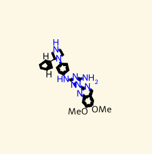 COc1cc2cnc(-n3nc(Nc4ccc(N5CCNCC5[C@H]5C[C@@H]6CC[C@H]5C6)cc4)nc3N)nc2cc1OC